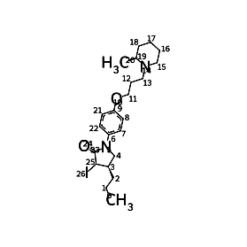 CCC[C@@H]1CN(c2ccc(OCCCN3CCCCC3C)cc2)C(=O)C1I